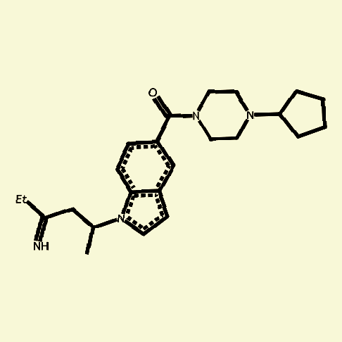 CCC(=N)CC(C)n1ccc2cc(C(=O)N3CCN(C4CCCC4)CC3)ccc21